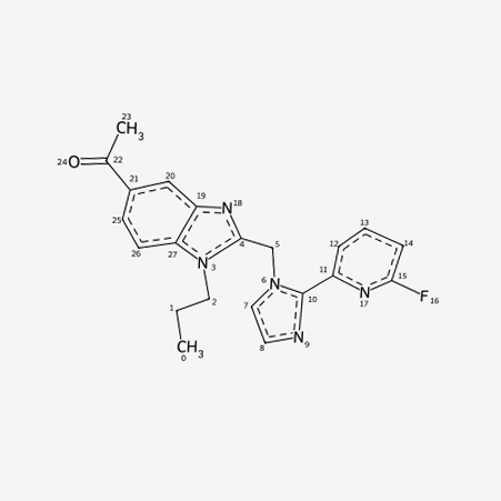 CCCn1c(Cn2ccnc2-c2cccc(F)n2)nc2cc(C(C)=O)ccc21